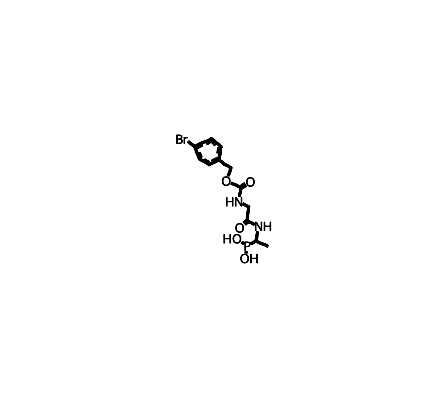 CC(NC(=O)CNC(=O)OCc1ccc(Br)cc1)P(O)O